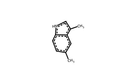 Cc1ccc2[nH][c]c(C)c2c1